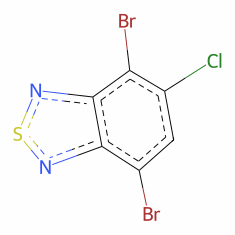 Clc1cc(Br)c2nsnc2c1Br